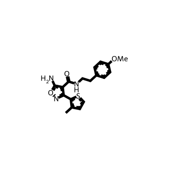 COc1ccc(CCNC(=O)c2c(-c3sccc3C)noc2N)cc1